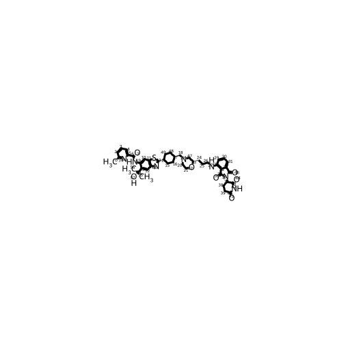 Cc1cccc(C(=O)Nc2cc3sc([C@H]4CC[C@H](CN5CCO[C@@H](CCCNc6cccc7c6C(=O)N(C6CCC(=O)NC6=O)C7=O)C5)CC4)nc3cc2C(C)(C)O)n1